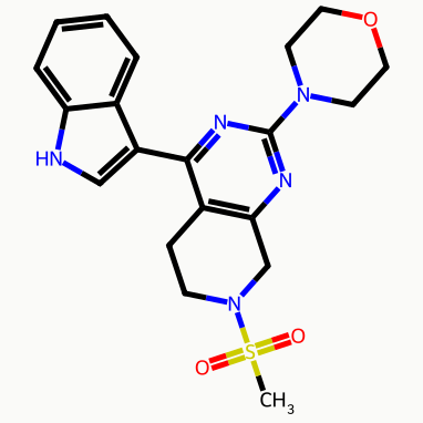 CS(=O)(=O)N1CCc2c(nc(N3CCOCC3)nc2-c2c[nH]c3ccccc23)C1